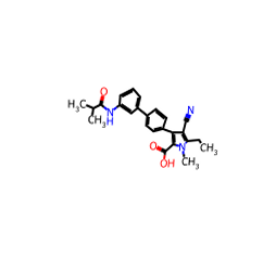 CCc1c(C#N)c(-c2ccc(-c3cccc(NC(=O)C(C)C)c3)cc2)c(C(=O)O)n1C